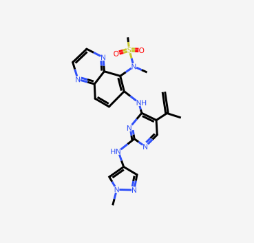 C=C(C)c1cnc(Nc2cnn(C)c2)nc1Nc1ccc2nccnc2c1N(C)S(C)(=O)=O